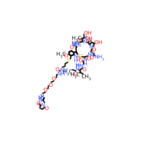 CCC(=O)N[C@H](C(=O)NCC(=O)N[C@H]1C[S+]([O-])c2[nH]c3c(CSCCCCNC(=O)NCCOCCOCCOCCn4cc(CN5C(=O)CCC5=O)nn4)c(OC)ccc3c2C[C@@H](C(N)=O)NC(=O)[C@H]([C@@H](C)[C@@H](O)CO)NC(=O)[C@@H]2C[C@@H](O)CN2C(=O)[C@H](CC(N)=O)NC1=O)[C@@H](C)CC